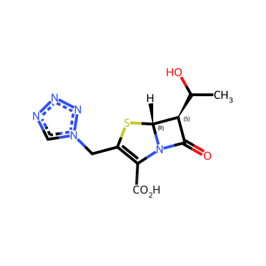 CC(O)[C@H]1C(=O)N2C(C(=O)O)=C(Cn3cnnn3)S[C@H]12